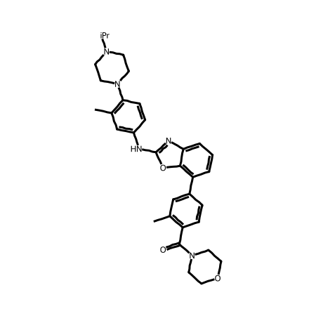 Cc1cc(-c2cccc3nc(Nc4ccc(N5CCN(C(C)C)CC5)c(C)c4)oc23)ccc1C(=O)N1CCOCC1